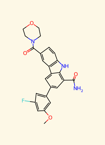 COc1cc(F)cc(-c2cc(C(N)=O)c3[nH]c4ccc(C(=O)N5CCOCC5)cc4c3c2)c1